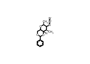 C[C@@H]1OC2COC(c3ccccc3)O[C@H]2[C@H](C)C1N=[N+]=[N-]